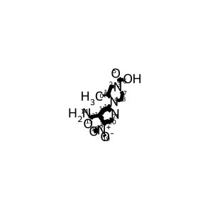 C[C@H]1CN(C(=O)O)CCN1c1cc(C(N)=O)c([N+](=O)[O-])cn1